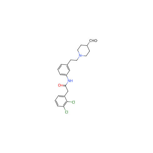 O=[C]C1CCN(CCc2cccc(NC(=O)Cc3cccc(Cl)c3Cl)c2)CC1